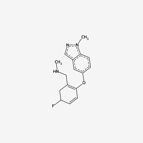 CNCC1=C(Oc2ccc3c(cnn3C)c2)C=CC(F)C1